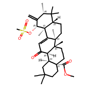 C=C1[C@@H](OS(C)(=O)=O)[C@]2(C)C3=CC(=O)[C@@H]4[C@@H]5CC(C)(C)CC[C@]5(C(=O)OC)CC[C@@]4(C)[C@]3(C)CC[C@H]2C(C)(C)[C@H]1C